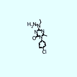 CCN(N)c1nc(C)n(-c2ccc(Cl)cc2)c(=O)n1